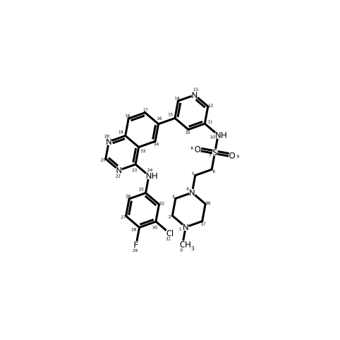 CN1CCN(CCS(=O)(=O)Nc2cncc(-c3ccc4ncnc(Nc5ccc(F)c(Cl)c5)c4c3)c2)CC1